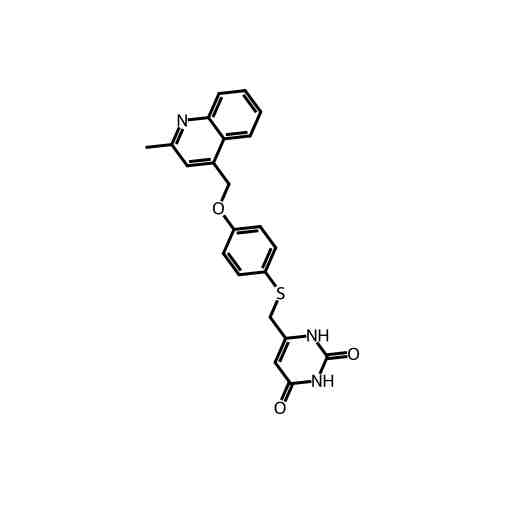 Cc1cc(COc2ccc(SCc3cc(=O)[nH]c(=O)[nH]3)cc2)c2ccccc2n1